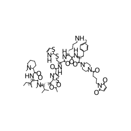 CC[C@H](C)[C@H](NC(=O)C1CCCCN1C)C(=O)N(C)[C@H](C[C@@H](OC(C)=O)c1nc(C(=O)N[C@@H](CSC2NC=CS2)C(=O)N[C@H](CCCCN)C(=O)N[C@@H](Cc2ccccc2)C(=O)N2CCN(C(=O)CCCN3C(=O)C=CC3=O)CC2)cs1)C(C)C